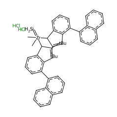 CC(C)(C)C1=Cc2c(-c3cccc4ccccc34)cccc2[CH]1[Zr]([CH3])([CH3])(=[SiH2])[CH]1C(C(C)(C)C)=Cc2c(-c3cccc4ccccc34)cccc21.Cl.Cl